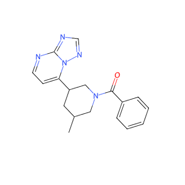 CC1CC(c2ccnc3ncnn23)CN(C(=O)c2ccccc2)C1